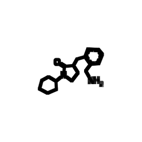 NCc1ccccc1CC1CCN(C2CCCCC2)C1=O